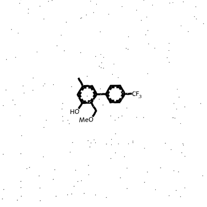 COCc1c(O)cc(C)cc1-c1ccc(C(F)(F)F)cc1